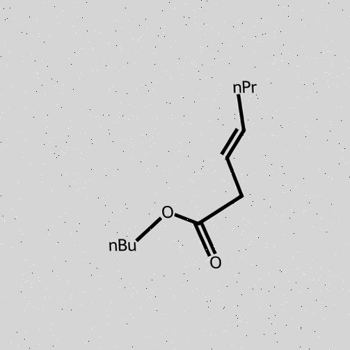 CCCC=CCC(=O)OCCCC